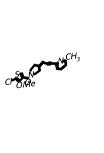 COc1c(C(=O)N2CCC(=CC#Cc3cccc(C)n3)CC2)csc1Cl